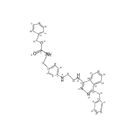 O=C(NCc1ccc(NCCNc2nnc(Cc3ccccc3)c3ccccc23)cc1)OCc1ccccc1